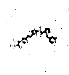 CC(C(N)=O)n1cnc(C=Cc2csc(NC(=O)c3cccn3Cc3ccnc(F)c3)n2)c1